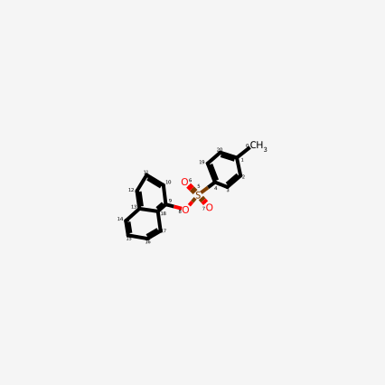 Cc1ccc(S(=O)(=O)Oc2cccc3[c]cccc23)cc1